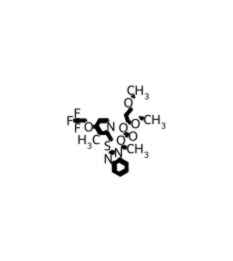 CCOCCC(OCC)OC(=O)OC(C)n1c(SCc2nccc(OCC(F)(F)F)c2C)nc2ccccc21